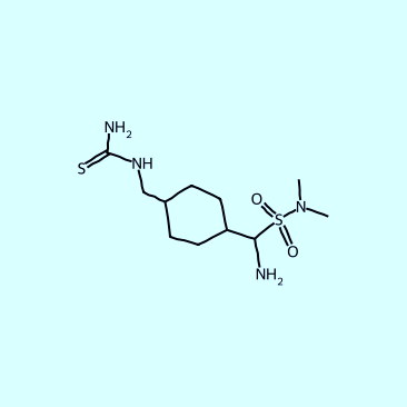 CN(C)S(=O)(=O)C(N)C1CCC(CNC(N)=S)CC1